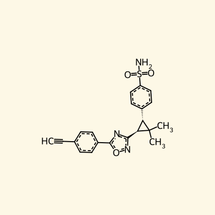 C#Cc1ccc(-c2nc([C@H]3[C@H](c4ccc(S(N)(=O)=O)cc4)C3(C)C)no2)cc1